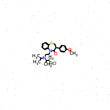 COc1ccc(C2CSc3ccccc3N(CCN(C(C)C)C(C)C)C2=O)cc1.Cl